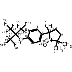 CC1(C)CCC(C)(c2ccc(OC(C(F)(F)F)(C(F)(F)F)C(F)(F)F)cc2)N1[O]